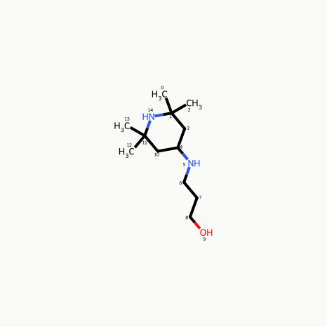 CC1(C)CC(NCCCO)CC(C)(C)N1